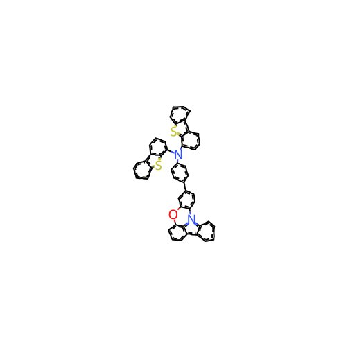 c1ccc2c(c1)sc1c(N(c3ccc(-c4ccc5c(c4)Oc4cccc6c7ccccc7n-5c46)cc3)c3cccc4c3sc3ccccc34)cccc12